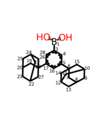 OB(O)c1cc(C23CC4CC(CC(C4)C2)C3)cc(C23CC4CC(CC(C4)C2)C3)c1